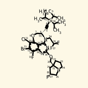 CC(C)[Si](C#C[C@H]1COc2c(Cl)c(Br)c(F)c3nc(OC[C@@]45CCCN4C[C@H](F)C5)nc(c23)N1CC(F)F)(C(C)C)C(C)C